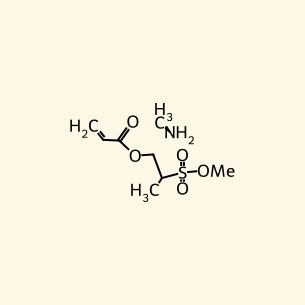 C=CC(=O)OCC(C)S(=O)(=O)OC.CN